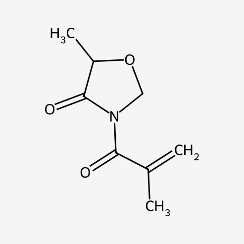 C=C(C)C(=O)N1COC(C)C1=O